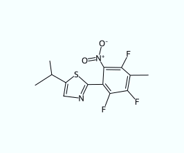 Cc1c(F)c(F)c(-c2ncc(C(C)C)s2)c([N+](=O)[O-])c1F